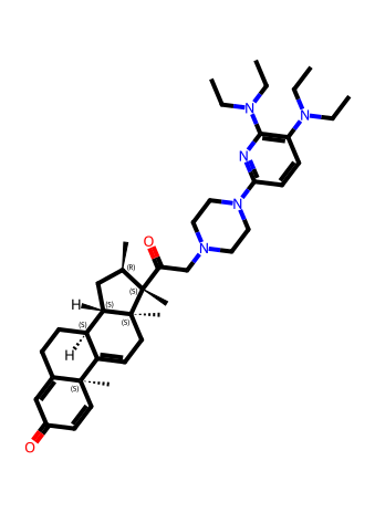 CCN(CC)c1ccc(N2CCN(CC(=O)[C@@]3(C)[C@H](C)C[C@H]4[C@@H]5CCC6=CC(=O)C=C[C@]6(C)C5=CC[C@@]43C)CC2)nc1N(CC)CC